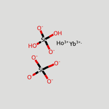 [Ho+3].[O-][Si]([O-])(O)O.[O-][Si]([O-])([O-])[O-].[Yb+3]